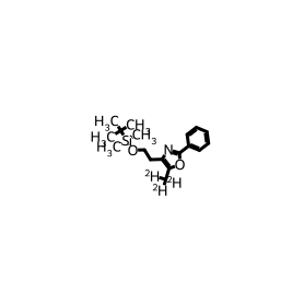 [2H]C([2H])([2H])c1oc(-c2ccccc2)nc1CCO[Si](C)(C)C(C)(C)C